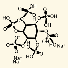 O=P([O-])([O-])O[C@H]1[C@@H](OP(=O)([O-])O)[C@@H](OP(=O)(O)O)[C@H](OP(=O)(O)O)[C@@H](OP(=O)(O)O)[C@@H]1OP(=O)(O)O.[Na+].[Na+].[Na+]